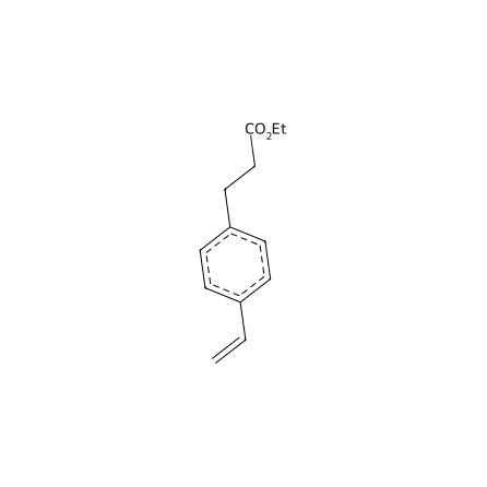 C=Cc1ccc(CCC(=O)OCC)cc1